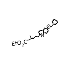 CCOC(=O)CC/C(C)=C/CCc1ccc2cc(OCc3ccccc3)ccc2n1